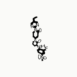 CCc1cnc(N2CCC(N3CCCC(Nc4ccc(S(C)(=O)=O)cc4F)C3=O)CC2=O)nc1